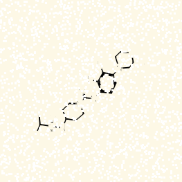 CC(C)S(=O)(=O)NC1CCN(C(=O)Nc2ccc(N3C[C@@H](C)O[C@@H](C)C3)c(F)c2F)CC1